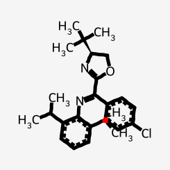 CC(C)c1cccc(C(C)C)c1/N=C(/C1=N[C@@H](C(C)(C)C)CO1)c1ccc(Cl)cc1